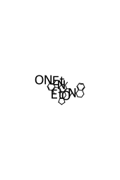 CCc1ccc(N=O)c(CC)c1-c1cc(OC2CCCC2)c(CN(C)[C@H]2CCCc3ccccc32)c(C)n1